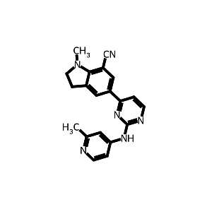 Cc1cc(Nc2nccc(-c3cc(C#N)c4c(c3)CCN4C)n2)ccn1